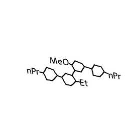 CCCC1CCC(C2CCC(CC)C(C3CC(C4CCC(CCC)CC4)CCC3OC)C2)CC1